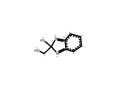 OCC1(S)N=c2ccccc2=N1